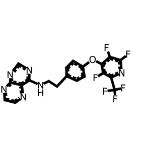 Fc1nc(C(F)(F)F)c(F)c(Oc2ccc(CCNc3ncnc4nccnc34)cc2)c1F